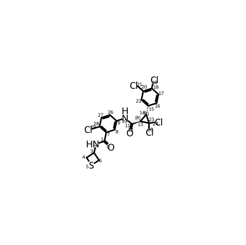 O=C(NC1CSC1)c1cc(NC(=O)[C@H]2[C@H](c3ccc(Cl)c(Cl)c3)C2(Cl)Cl)ccc1Cl